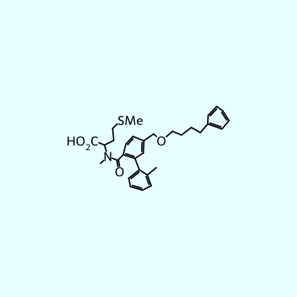 CSCCC(C(=O)O)N(C)C(=O)c1ccc(COCCCCc2ccccc2)cc1-c1ccccc1C